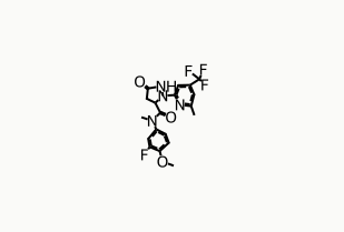 COc1ccc(N(C)C(=O)C2CC(=O)NN2c2cc(C(F)(F)F)cc(C)n2)cc1F